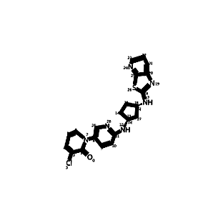 O=c1c(Cl)cccn1-c1ccc(N[C@H]2CC[C@H](Nc3nc4cccnc4s3)C2)nc1